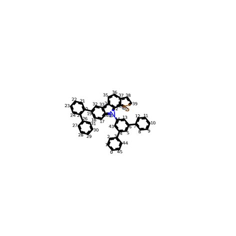 c1ccc(-c2cc(-c3ccccc3)cc(-n3c4ccc(-c5ccccc5-c5ccccc5)cc4c4ccc5ccsc5c43)c2)cc1